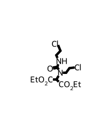 CCOC(=O)C(C(=O)OCC)N(CCCl)C(=O)NCCCl